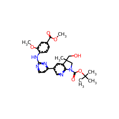 COC(=O)c1ccc(Nc2nccc(-c3cnc4c(c3)C(C)(CO)CN4C(=O)OC(C)(C)C)n2)c(OC)c1